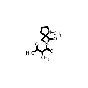 CC(O)C(C)C(=O)N1CC2(CCCN2C)C1=O